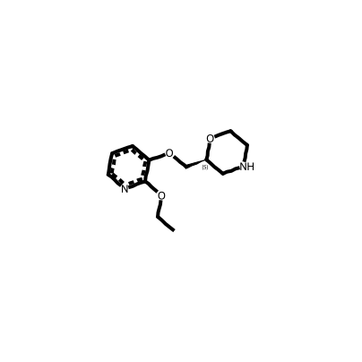 CCOc1ncccc1OC[C@@H]1CNCCO1